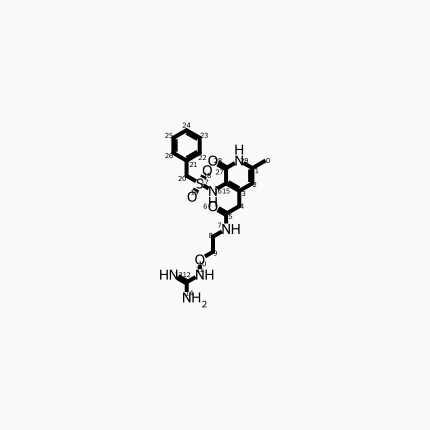 Cc1cc(CC(=O)NCCONC(=N)N)c(NS(=O)(=O)Cc2ccccc2)c(=O)[nH]1